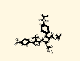 CC(C)S(=O)(=O)c1ccc(-c2nc(-c3onc(-c4ccc([N+](=O)[O-])cc4)c3C(C)(C)C)c(OC(N)=O)nc2C(=O)OC(C)(C)C)cc1